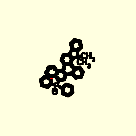 CC1(C)c2ccccc2-c2ccc3c(c21)c1ccccc1c1cc(P(=O)(c2ccccc2)c2ccccc2)c2ccccc2c13